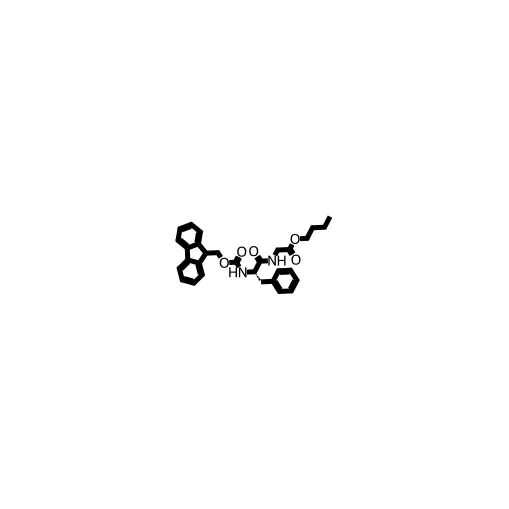 CCCCOC(=O)CNC(=O)[C@H](Cc1ccccc1)NC(=O)OCC1c2ccccc2-c2ccccc21